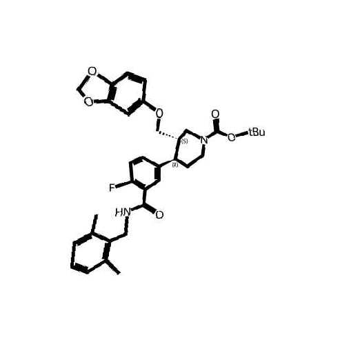 Cc1cccc(C)c1CNC(=O)c1cc([C@@H]2CCN(C(=O)OC(C)(C)C)C[C@H]2COc2ccc3c(c2)OCO3)ccc1F